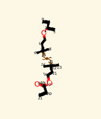 C=CC(=C)OCCC(C)(C)SSC(C)(C)CCOC(=O)C=C